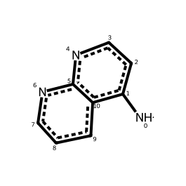 [NH]c1ccnc2ncccc12